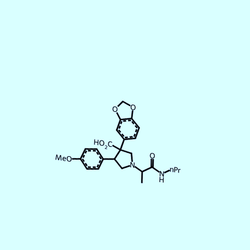 CCCNC(=O)C(C)N1CC(c2ccc(OC)cc2)C(C(=O)O)(c2ccc3c(c2)OCO3)C1